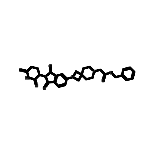 O=C1CCC(N2C(=O)c3ccc(N4CC5(CCN(CC(=O)OCc6ccccc6)CC5)C4)cc3C2=O)C(=O)N1